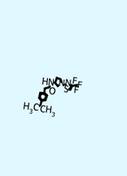 CC(C)c1ccc(CC(=O)NC2CCN(c3nc(C(F)(F)F)cs3)C2)cc1